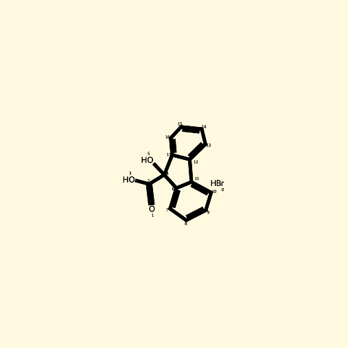 Br.O=C(O)C1(O)c2ccccc2-c2ccccc21